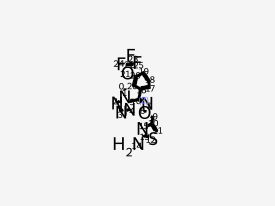 Cn1nnnc1/C(=N\OCc1csc(N)n1)c1cccc(OC(F)(F)F)c1